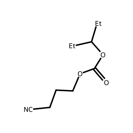 CCC(CC)OC(=O)OCCCC#N